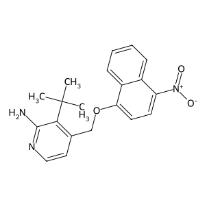 CC(C)(C)c1c(COc2ccc([N+](=O)[O-])c3ccccc23)ccnc1N